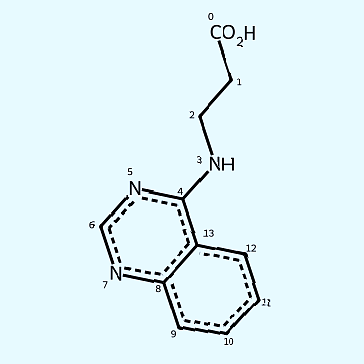 O=C(O)CCNc1ncnc2ccccc12